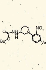 CC(=O)c1ccc(N2CCCC(NNC(=O)OC(C)(C)C)C2)c([N+](=O)[O-])c1